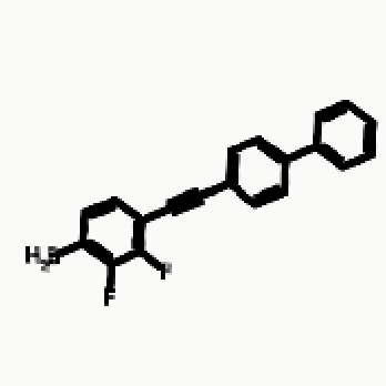 Bc1ccc(C#Cc2ccc(-c3ccccc3)cc2)c(F)c1F